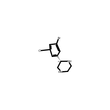 Clc1cc(Br)cc([C@H]2CNCCN2)c1